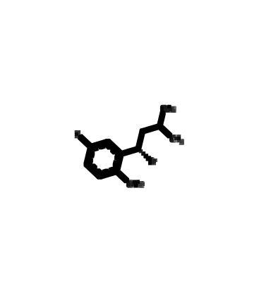 COc1ccc(F)cc1[C@@H](Br)CC(C)OC(C)=O